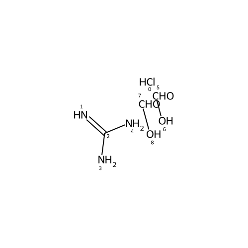 Cl.N=C(N)N.O=CO.O=CO